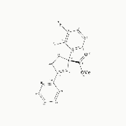 COC(=O)[C@@]1(c2cccc(F)c2C)C=C(c2ccccc2)CC1